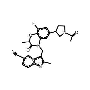 CC(=O)N1CCC(c2cc(F)c3c(c2)N(Cc2c(C)nc4ccc(C#N)cn24)C(=O)[C@@H](C)O3)C1